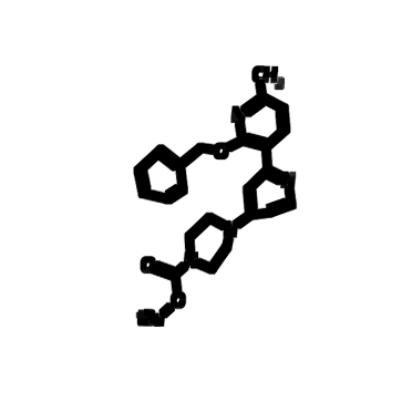 Cc1ccc(-c2cc(N3CCN(C(=O)OC(C)(C)C)CC3)ccn2)c(OCc2ccccc2)n1